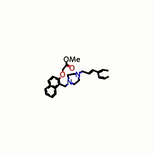 C\C=C/C(/C=C/CN1CCN(Cc2c(OCC(=O)OC)ccc3ccccc23)CC1)=C\C